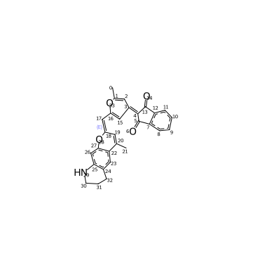 CC1=CC(=C2C(=O)c3ccccc3C2=O)C=C(/C=C2\C=C(C)c3cc4c(cc3O2)NCCC4)O1